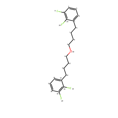 Fc1cccc(CCCCOCCCCc2cccc(F)c2F)c1F